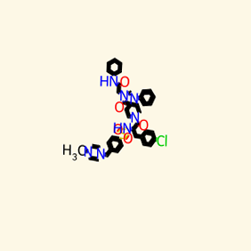 CN1CCN(Cc2ccc(S(=O)(=O)NC(Cc3ccc(Cl)cc3)C(=O)N3CCC4(CC3)C(=O)N(CC(=O)NC3CCCCC3)CN4c3ccccc3)cc2)CC1